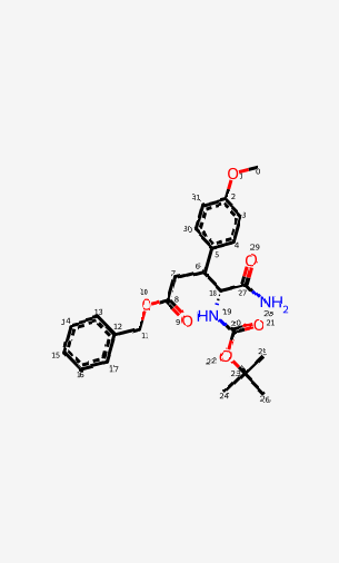 COc1ccc(C(CC(=O)OCc2ccccc2)[C@@H](NC(=O)OC(C)(C)C)C(N)=O)cc1